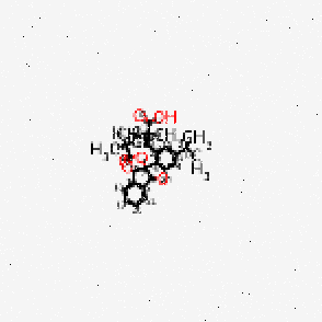 CC(C)c1ccc(C2(OC(=O)C(C)(C)C)C(=O)c3ccccc3C2=O)c(CC(C)(C)C(=O)O)c1